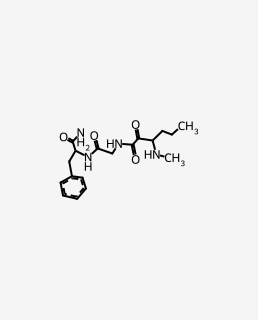 CCCC(NC)C(=O)C(=O)NCC(=O)NC(Cc1ccccc1)C(N)=O